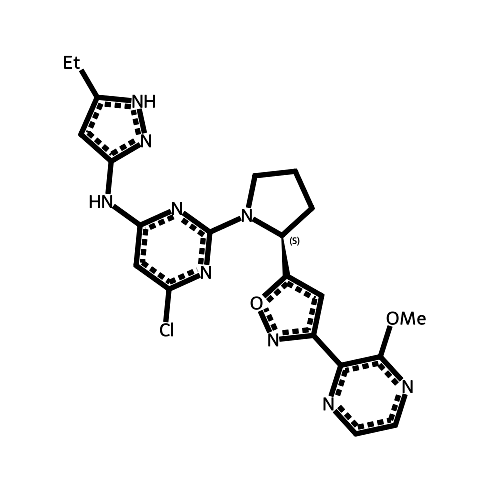 CCc1cc(Nc2cc(Cl)nc(N3CCC[C@H]3c3cc(-c4nccnc4OC)no3)n2)n[nH]1